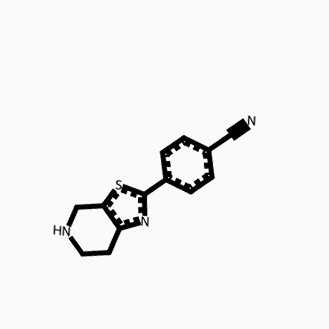 N#Cc1ccc(-c2nc3c(s2)CNCC3)cc1